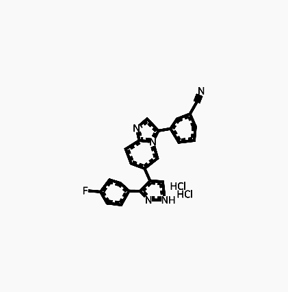 Cl.Cl.N#Cc1cccc(-c2cnc3ccc(-c4c[nH]nc4-c4ccc(F)cc4)cn23)c1